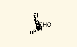 CCCc1cnc(C(C=O)C2CCC(CCCCl)CC2)nc1